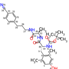 Cc1cc(O)cc(C)c1C[C@@H](NC(=O)OC(C)(C)C)C(=O)N[C@H](C)C(=O)NCCCc1ccc(C#N)cc1